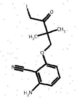 CC(C)(COc1cccc(N)c1C#N)C(=O)CI